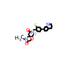 CCN1CC2(CCN(Cc3c(F)cc(-c4ccc5cccnc5c4)cc3F)C(=O)C2)OCC1=O